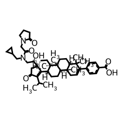 CC(C)C1=C2[C@H]3CC[C@@H]4[C@@]5(C)CC=C(c6ccc(C(=O)O)cc6)C(C)(C)[C@H]5CC[C@@]4(C)[C@]3(C)CC[C@@]2([C@@H](O)CN(CC2CC2)C(=O)CN2CCCC2=O)CC1=O